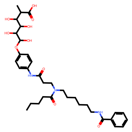 CCCCC(=O)N(CCCCCCNC(=O)c1ccccc1)CCC(=O)Nc1ccc(OC(O)C(O)C(O)C(O)C(C)C(=O)O)cc1